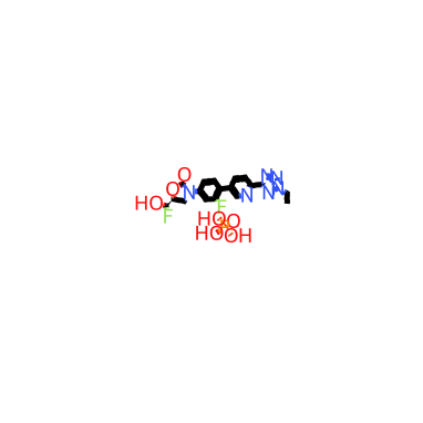 CCn1nnc(-c2ccc(-c3ccc(N4C[C@H](C(O)F)OC4=O)cc3F)cn2)n1.O=P(O)(O)O